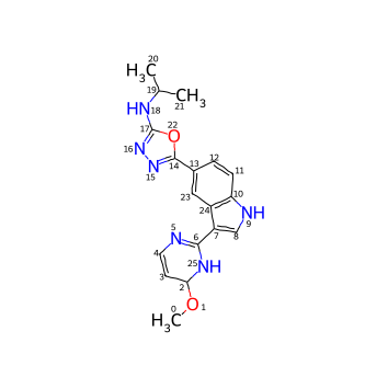 COC1C=CN=C(c2c[nH]c3ccc(-c4nnc(NC(C)C)o4)cc23)N1